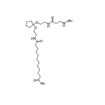 CC(C)(C)NCCC(=O)NCCOC1(OCCNC(=O)CCCCCCCCCCC(=O)C(C)(C)C)CCCC1